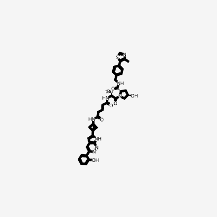 Cc1ncsc1-c1ccc(CNC(=O)[C@@H]2C[C@@H](O)CN2C(=O)[C@@H](NC(=O)CCCC(=O)NC23CC(c4cc5cc(-c6ccccc6O)nnc5[nH]4)(C2)C3)C(C)(C)C)cc1